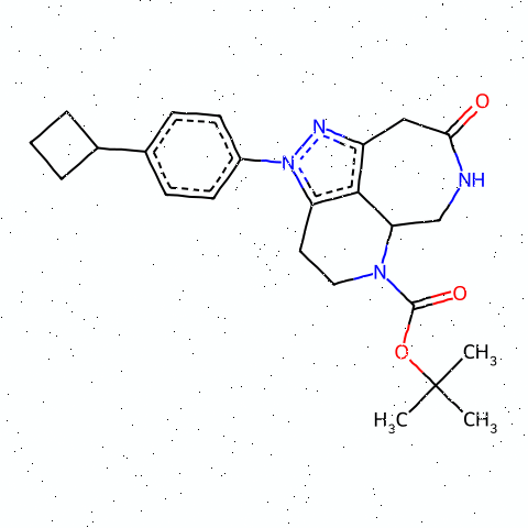 CC(C)(C)OC(=O)N1CCc2c3c(nn2-c2ccc(C4CCC4)cc2)CC(=O)NCC31